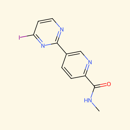 CNC(=O)c1ccc(-c2nccc(I)n2)cn1